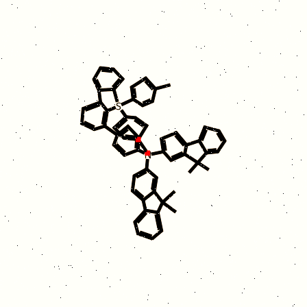 Cc1ccc(S2(c3ccc(C)cc3)c3ccccc3-c3cccc(-c4ccc(N(c5ccc6c(c5)C(C)(C)c5ccccc5-6)c5ccc6c(c5)C(C)(C)c5ccccc5-6)cc4)c32)cc1